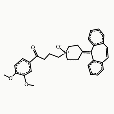 COc1ccc(C(=O)CCC[N+]2([O-])CCC(=C3c4ccccc4C=Cc4ccccc43)CC2)cc1OC